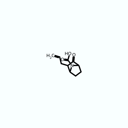 C=CCC1C(=O)C2CCC1N2C(=O)O